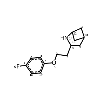 Fc1ccc(OCCC2CC3CC(C3)N2)cc1